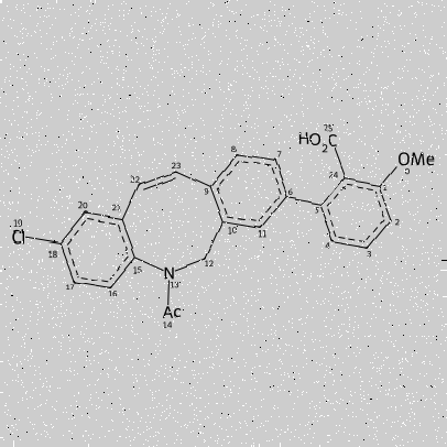 COc1cccc(-c2ccc3c(c2)CN(C(C)=O)c2ccc(Cl)cc2/C=C\3)c1C(=O)O